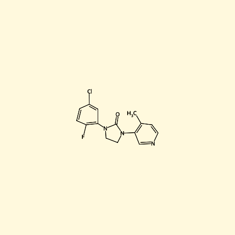 Cc1ccncc1N1CCN(c2cc(Cl)ccc2F)C1=O